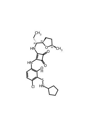 CC[C@@H](Nc1c(Nc2ccc(Cl)c(SNC3CCCC3)c2O)c(=O)c1=O)[C@H]1CC[C@@H](C)O1